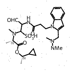 CNN(C)Cc1cc2ccccc2n1CCC(=O)NC(C=O)C(N(C)[C@@H](C)C(=O)O[C@@H](C)C1CC1)S(=O)(=O)O